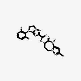 Cc1cc2n(n1)CC[C@H](NC(=O)c1nc3n(n1)CCN3c1c(F)cccc1F)C(=O)N2C